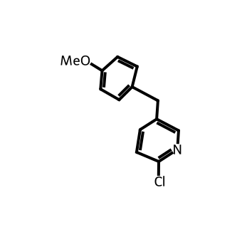 COc1ccc(Cc2ccc(Cl)nc2)cc1